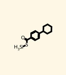 O=C(S[SiH3])c1ccc(C2CCCCC2)cc1